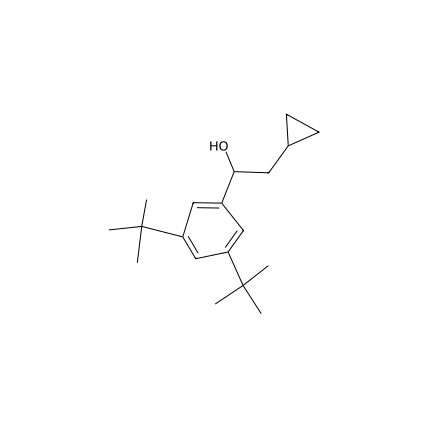 CC(C)(C)c1cc(C(O)CC2CC2)cc(C(C)(C)C)c1